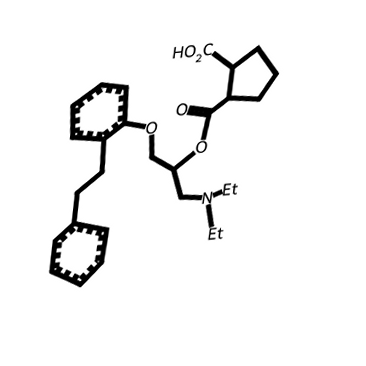 CCN(CC)CC(COc1ccccc1CCc1ccccc1)OC(=O)C1CCCC1C(=O)O